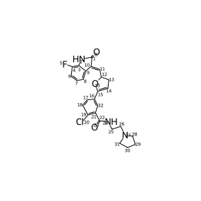 O=C1Nc2c(F)cccc2/C1=C\C1CC=C(c2ccc(Cl)c(C(=O)NCCN3CCCC3)c2)O1